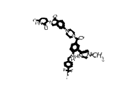 CN1C=C(c2cc(C(=O)N3CCN(c4ccc5c(c4)CN([C@H]4CCC(=O)NC4=O)C5=O)CC3)ccc2NCc2ccc(C(F)(F)F)cc2)NC1